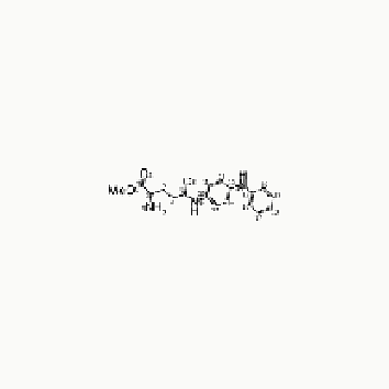 COC(=O)C(N)CCC(=O)Nc1ccc(Nc2ccccc2)cc1